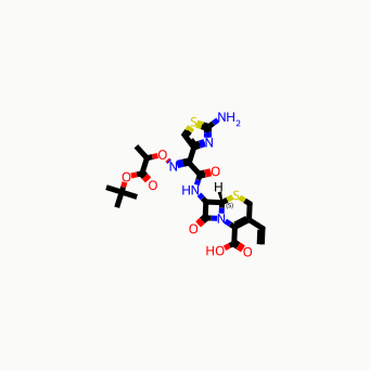 C=CC1=C(C(=O)O)N2C(=O)C(NC(=O)C(=NOC(C)C(=O)OC(C)(C)C)c3csc(N)n3)[C@@H]2SC1